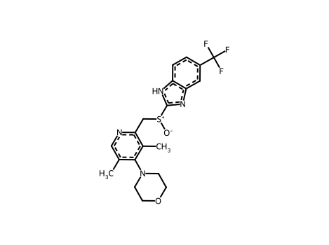 Cc1cnc(C[S+]([O-])c2nc3cc(C(F)(F)F)ccc3[nH]2)c(C)c1N1CCOCC1